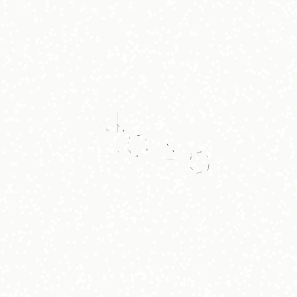 CC1Oc2ccc(CNCc3ccc(Cl)cc3Cl)cc2NC1=O